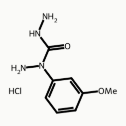 COc1cccc(N(N)C(=O)NN)c1.Cl